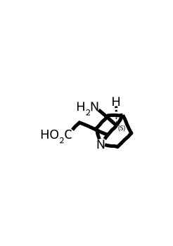 N[C@H]1C2CCN(CC2)C1CC(=O)O